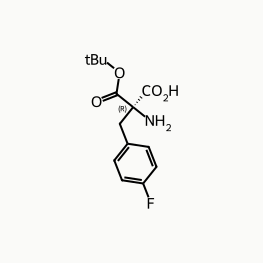 CC(C)(C)OC(=O)[C@@](N)(Cc1ccc(F)cc1)C(=O)O